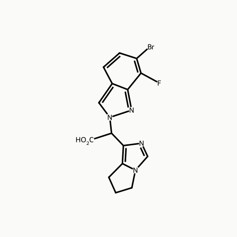 O=C(O)C(c1ncn2c1CCC2)n1cc2ccc(Br)c(F)c2n1